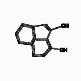 OC1=[C]c2cccc3ccc(O)c1c23